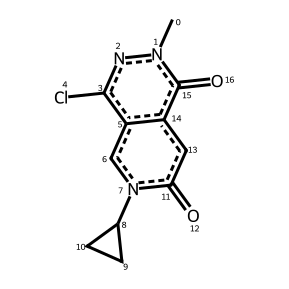 Cn1nc(Cl)c2cn(C3CC3)c(=O)cc2c1=O